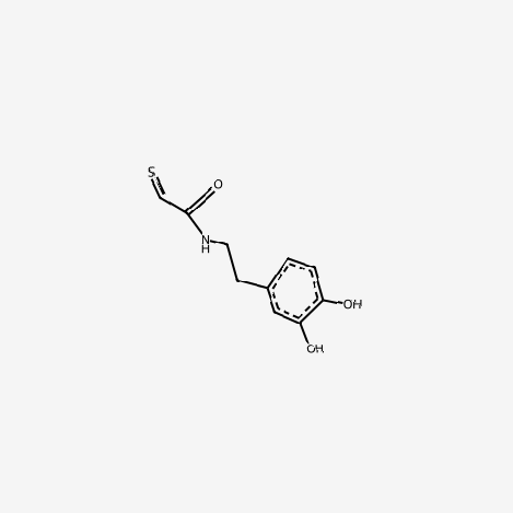 O=C(C=S)NCCc1ccc(O)c(O)c1